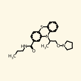 CCCNC(=O)c1ccc2c(c1)N(C(C)CON1CCCC1)c1ccccc1S2